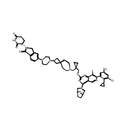 O=C1CC[C@H](N2Cc3cc(N4CCN(C5CC6(CCN(CC7(COc8nc(N9CC%10CCC(C9)N%10)c9cnc(-c%10cc(O)cc(Cl)c%10C%10CC%10)c(F)c9n8)CC7)CC6)C5)CC4)ccc3C2=O)C(=O)N1